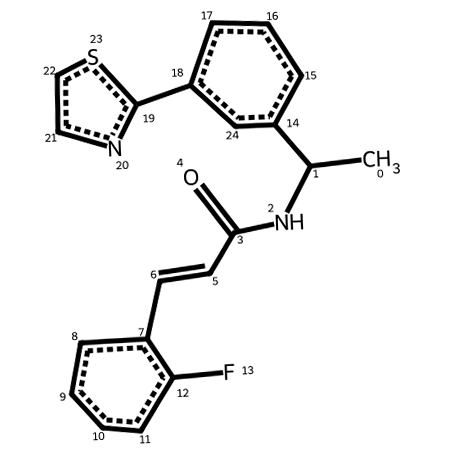 CC(NC(=O)C=Cc1ccccc1F)c1cccc(-c2nccs2)c1